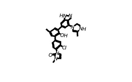 CC1=CN(c2cc(-c3cc(C)cc(-c4ccc(-n5ccn(C)c5=O)c(Cl)c4)c3O)cc3[nH]ncc23)CCN1